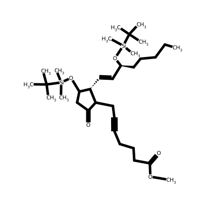 CCCCC[C@@H](/C=C/[C@H]1C(O[Si](C)(C)C(C)(C)C)CC(=O)C1CC#CCCCC(=O)OC)O[Si](C)(C)C(C)(C)C